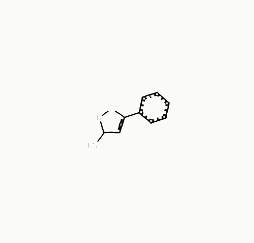 NC1C=C(c2ccccc2)ON1